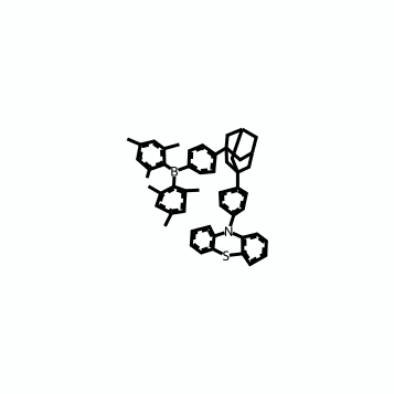 Cc1cc(C)c(B(c2ccc(C34CC5CC(C3)CC(c3ccc(N6c7ccccc7Sc7ccccc76)cc3)(C5)C4)cc2)c2c(C)cc(C)cc2C)c(C)c1